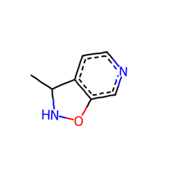 CC1NOc2cnccc21